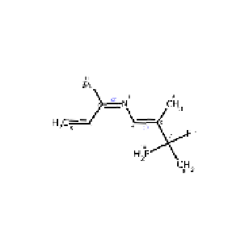 C=C/C(=N\C=C(/C)C(C)(F)P)C(C)C